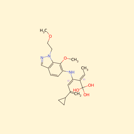 C=C(/C=C(Nc1ccc2cnn(CCOC)c2c1OC)\C(=C/C)C(O)(O)O)C1CC1